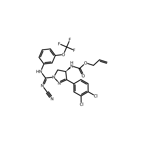 C=CCOC(=O)N[C@@H]1CN(/C(=N\C#N)Nc2cccc(OC(F)(F)F)c2)N=C1c1ccc(Cl)c(Cl)c1